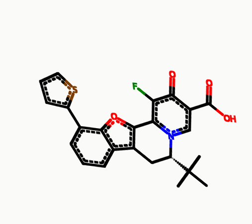 CC(C)(C)[C@@H]1Cc2c(oc3c(-c4cccs4)cccc23)-c2c(F)c(=O)c(C(=O)O)cn21